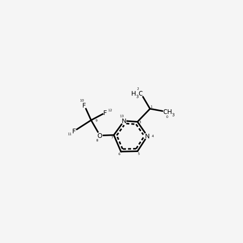 CC(C)c1nccc(OC(F)(F)F)n1